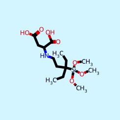 CCC(CC)(CCNC(CC(=O)O)C(=O)O)[Si](OC)(OC)OC